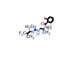 C=N/C(=N\C=C(/C)C(F)(F)F)NC[C@H](C)N(CC)C(=O)c1c(F)cccc1I